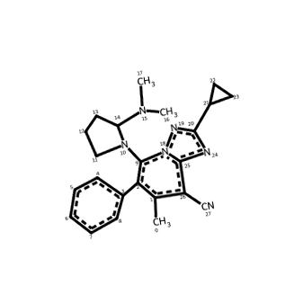 Cc1c(-c2ccccc2)c(N2CCCC2N(C)C)n2nc(C3CC3)nc2c1C#N